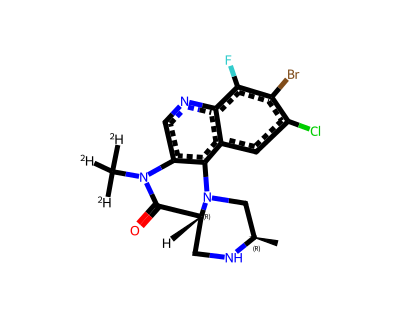 [2H]C([2H])([2H])N1C(=O)[C@H]2CN[C@H](C)CN2c2c1cnc1c(F)c(Br)c(Cl)cc21